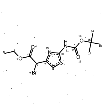 CCOC(=O)C(Br)c1csc(NC(=O)OC(C)(C)C)n1